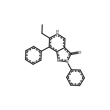 CCc1[nH]cc2c(=O)n(-c3ccccc3)nc-2c1-c1ccccc1